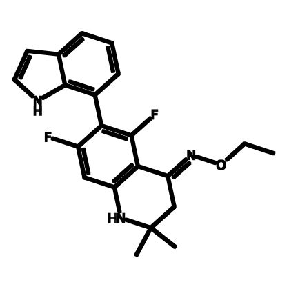 CCON=C1CC(C)(C)Nc2cc(F)c(-c3cccc4cc[nH]c34)c(F)c21